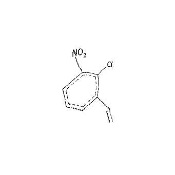 C=Cc1cccc([N+](=O)[O-])c1Cl